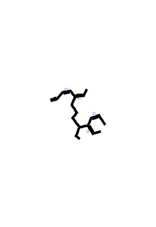 C=C/C=C\C(=C/C)CCCC(CC)C(/C=C\C)=C/C